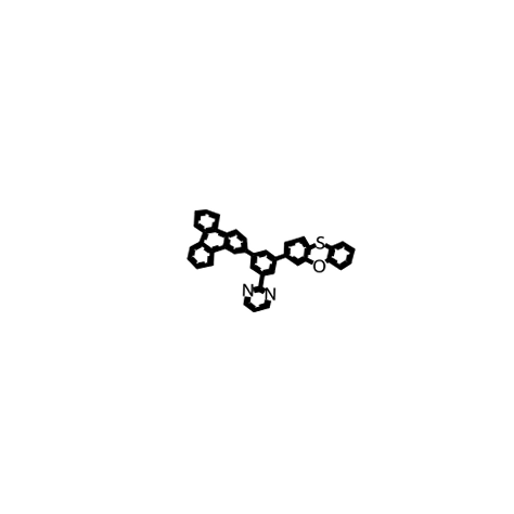 c1cnc(-c2cc(-c3ccc4c(c3)Oc3ccccc3S4)cc(-c3ccc4c5ccccc5c5ccccc5c4c3)c2)nc1